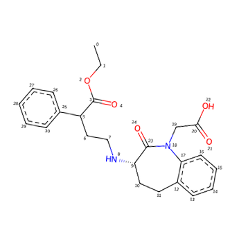 CCOC(=O)C(CCN[C@H]1CCc2ccccc2N(CC(=O)O)C1=O)c1ccccc1